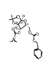 CN(C)C(=O)O[C@@H]1[C@H]2OC(C)(C)O[C@H]2O[C@@H]1COC(=O)OCc1ccccc1